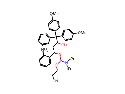 COc1ccc(C(c2ccccc2)(c2ccc(OC)cc2)C(O)CC(OP(OCCC#N)N(C(C)C)C(C)C)c2ccccc2[N+](=O)[O-])cc1